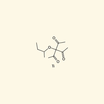 CCC(C)OC(C(C)=O)(C(C)=O)C(C)=O.[Ti]